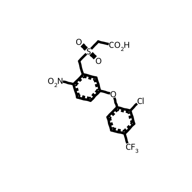 O=C(O)CS(=O)(=O)Cc1cc(Oc2ccc(C(F)(F)F)cc2Cl)ccc1[N+](=O)[O-]